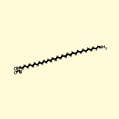 NCCCCCCCCCCCCCCCCCCCCCCCCCCCCCCCCC[Si](Cl)(Cl)Cl